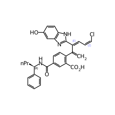 C=C(/C(=C\C=C/Cl)c1nc2cc(O)ccc2[nH]1)c1ccc(C(=O)N[C@H](CCC)c2ccccc2)cc1C(=O)O